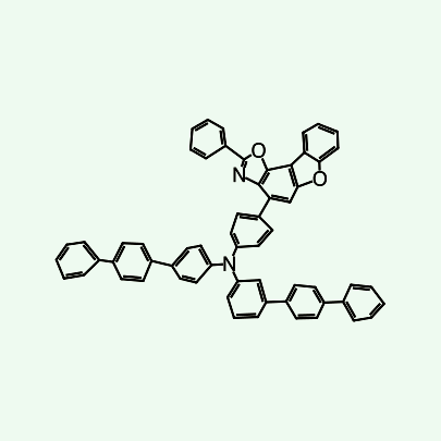 c1ccc(-c2ccc(-c3ccc(N(c4ccc(-c5cc6oc7ccccc7c6c6oc(-c7ccccc7)nc56)cc4)c4cccc(-c5ccc(-c6ccccc6)cc5)c4)cc3)cc2)cc1